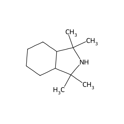 CC1(C)NC(C)(C)C2CCCCC21